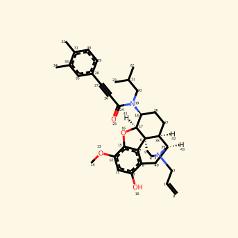 C=CCN1CC[C@]23c4c5c(O)cc(OC)c4O[C@H]2[C@@H](N(CC(C)C)C(=O)C#Cc2ccc(C)c(C)c2)CC[C@H]3[C@H]1C5